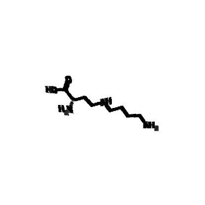 NCCCCNCC[C@H](N)C(=O)O